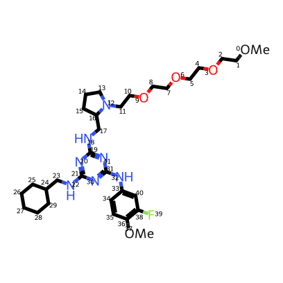 COCCOCCOCCOCCN1CCCC1CNc1nc(NCC2CCCCC2)nc(Nc2ccc(OC)c(F)c2)n1